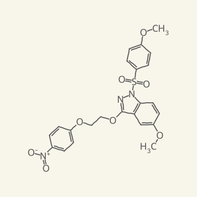 COc1ccc(S(=O)(=O)n2nc(OCCOc3ccc([N+](=O)[O-])cc3)c3cc(OC)ccc32)cc1